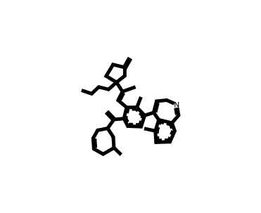 C=C1CCC(CCCC)(/C(C)=C/c2c(C(=C)C3CC=CCC(C)C3)ccc(C3=CCN=Cc4cccc(C)c43)c2C)C1